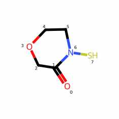 O=C1COCCN1S